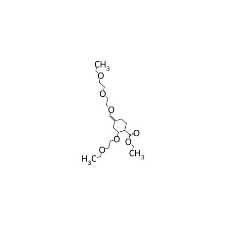 CCOCCOCCOC=C1CCC(C(=O)OCC)C(OCCOCC)C1